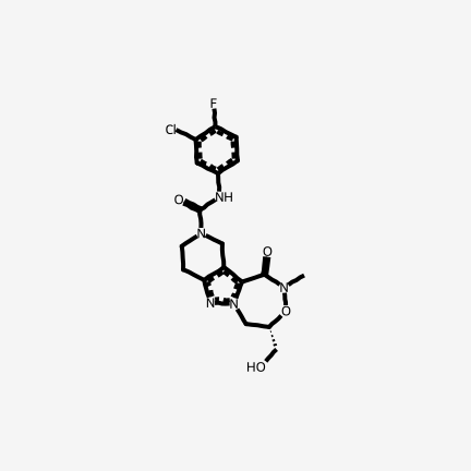 CN1O[C@H](CO)Cn2nc3c(c2C1=O)CN(C(=O)Nc1ccc(F)c(Cl)c1)CC3